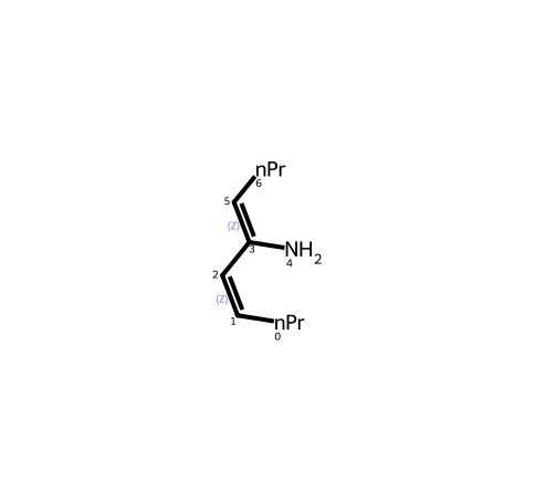 CCC/C=C\C(N)=C\CCC